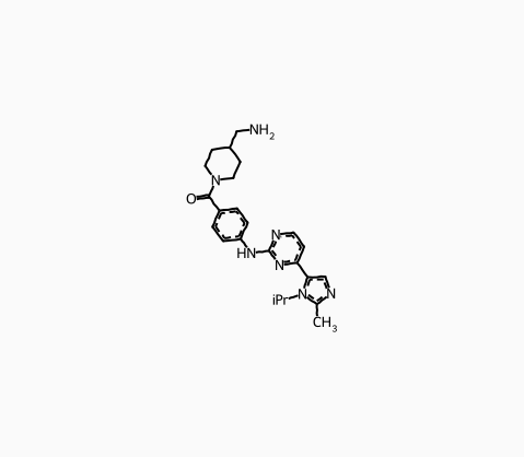 Cc1ncc(-c2ccnc(Nc3ccc(C(=O)N4CCC(CN)CC4)cc3)n2)n1C(C)C